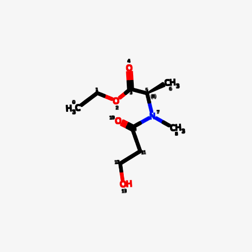 CCOC(=O)[C@@H](C)N(C)C(=O)CCO